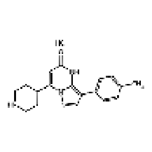 Cc1ccc(-c2cnn3c(C4CCNCC4)cc(=O)[nH]c23)cc1.Cl